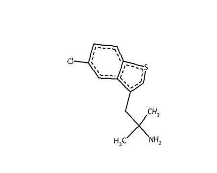 CC(C)(N)Cc1csc2ccc(Cl)cc12